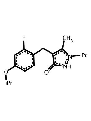 Cc1c(Cc2ccc(OC(C)C)cc2F)c(=O)[nH]n1C(C)C